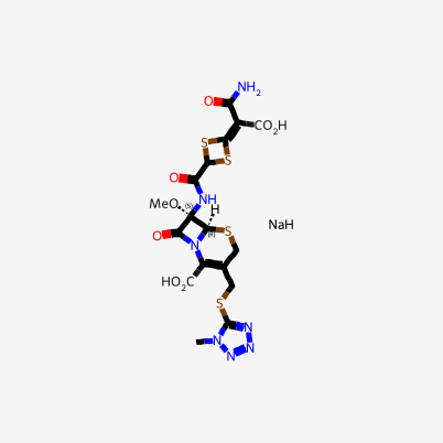 CO[C@@]1(NC(=O)C2SC(=C(C(N)=O)C(=O)O)S2)C(=O)N2C(C(=O)O)=C(CSc3nnnn3C)CS[C@@H]21.[NaH]